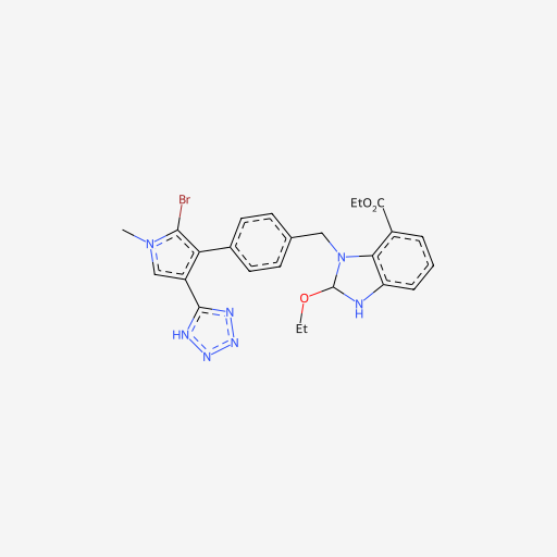 CCOC(=O)c1cccc2c1N(Cc1ccc(-c3c(-c4nnn[nH]4)cn(C)c3Br)cc1)C(OCC)N2